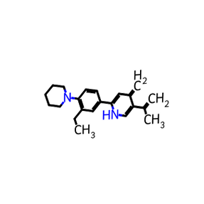 C=C(C)C1=CNC(c2ccc(N3CCCCC3)c(CC)c2)=CC1=C